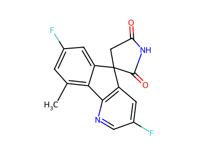 Cc1cc(F)cc2c1-c1ncc(F)cc1C21CC(=O)NC1=O